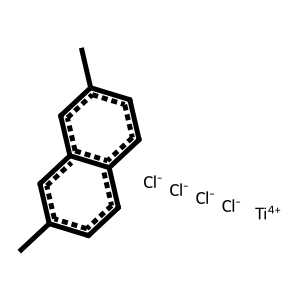 Cc1ccc2ccc(C)cc2c1.[Cl-].[Cl-].[Cl-].[Cl-].[Ti+4]